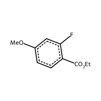 CCOC(=O)c1ccc(OC)cc1F